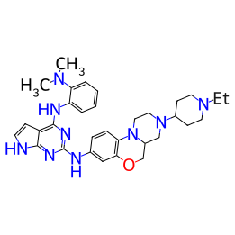 CCN1CCC(N2CCN3c4ccc(Nc5nc(Nc6ccccc6N(C)C)c6cc[nH]c6n5)cc4OCC3C2)CC1